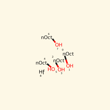 CCCCCCCCO.CCCCCCCCO.CCCCCCCCO.CCCCCCCCO.[Hf]